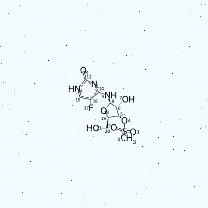 CS(=O)(=O)O[C@@H]1[C@@H](O)[C@H](Nc2nc(=O)[nH]cc2F)O[C@@H]1CO